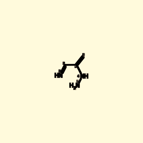 C=C(C=N)NN